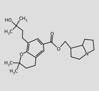 CC(C)(O)CCc1cc(C(=O)OCC2CCN3CCCC23)cc2c1OC(C)(C)CC2